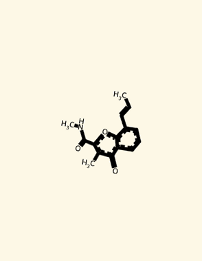 CC=Cc1cccc2c(=O)c(C)c(C(=O)NC)oc12